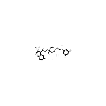 COc1ccc2ncc(N(C)C)c(C(O)CCC3(CC(=O)O)CCN(CCNc4cc(F)cc(F)c4)CC3)c2c1